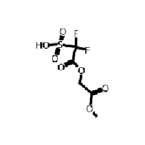 COC(=O)COC(=O)C(F)(F)S(=O)(=O)O